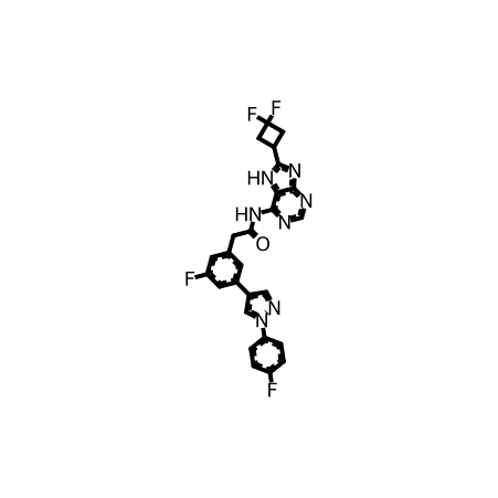 O=C(Cc1cc(F)cc(-c2cnn(-c3ccc(F)cc3)c2)c1)Nc1ncnc2nc(C3CC(F)(F)C3)[nH]c12